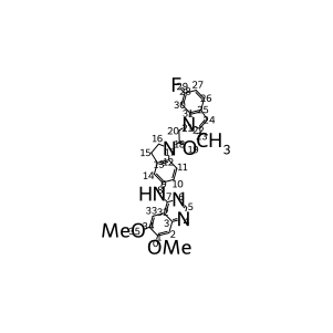 COc1cc2ncnc(Nc3ccc4c(c3)CCN4C(=O)Cn3c(C)cc4ccc(F)cc43)c2cc1OC